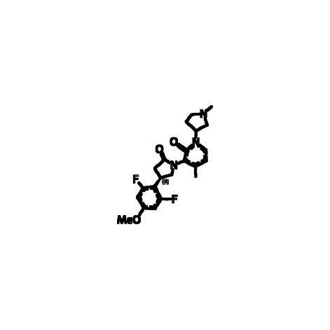 COc1cc(F)c([C@H]2CC(=O)N(c3c(C)ccn(C4CCN(C)C4)c3=O)C2)c(F)c1